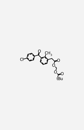 Cc1c(CC(=O)OCOC(=O)C(C)(C)C)cccc1C(=O)c1ccc(Cl)cc1